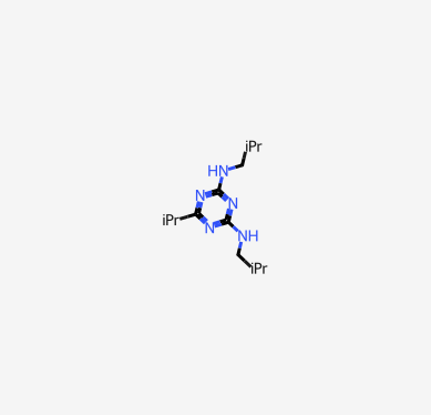 CC(C)CNc1nc(NCC(C)C)nc(C(C)C)n1